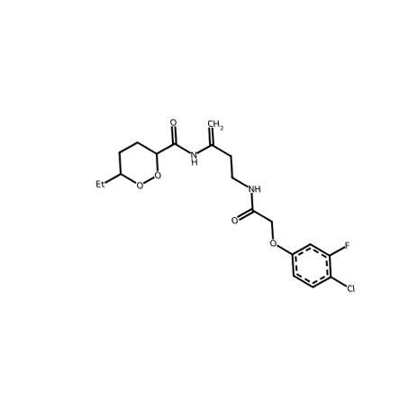 C=C(CCNC(=O)COc1ccc(Cl)c(F)c1)NC(=O)C1CCC(CC)OO1